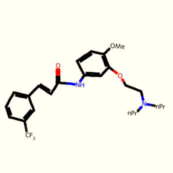 CCCN(CCC)CCOc1cc(NC(=O)C=Cc2cccc(C(F)(F)F)c2)ccc1OC